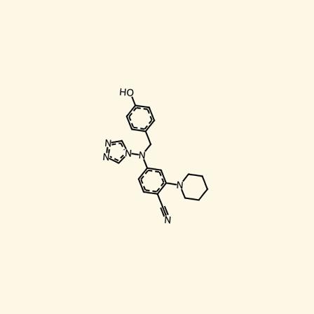 N#Cc1ccc(N(Cc2ccc(O)cc2)n2cnnc2)cc1N1CCCCC1